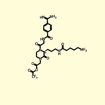 N=C(N)c1ccc(C(=O)NCC(=O)N2CCN(CC(=O)OC(=O)C(F)(F)F)C(=O)[C@@H]2CCCNC(=O)CCCCN)cc1